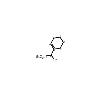 CCOC(=O)C(CC)C1=CCCCC1